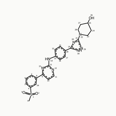 CS(=O)(=O)c1cccc(-c2ccnc(Nc3ccc(-c4nc(N5CCC(O)CC5)n[nH]4)cc3)n2)c1